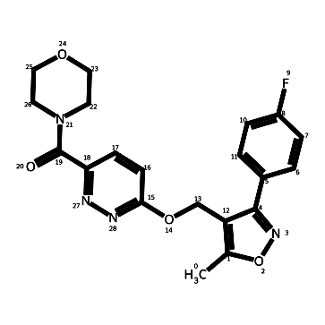 Cc1onc(-c2ccc(F)cc2)c1COc1ccc(C(=O)N2CCOCC2)nn1